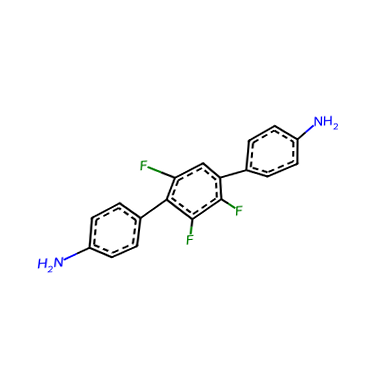 Nc1ccc(-c2cc(F)c(-c3ccc(N)cc3)c(F)c2F)cc1